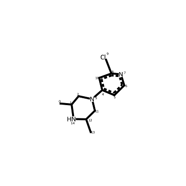 CC1CN(c2ccnc(Cl)c2)CC(C)N1